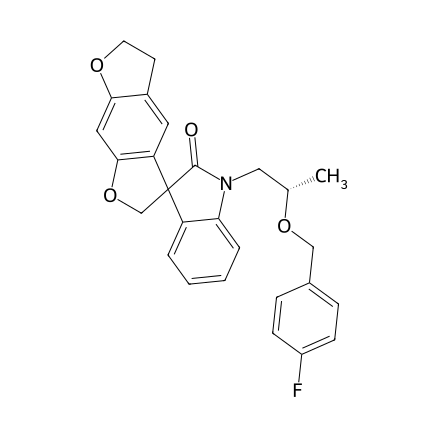 C[C@@H](CN1C(=O)C2(COc3cc4c(cc32)CCO4)c2ccccc21)OCc1ccc(F)cc1